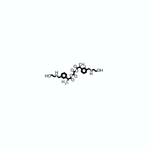 CC(C(=O)OC(=O)C(=O)OC(=O)C(C)c1cccc(CNCCO)c1)c1cccc(CNCCO)c1